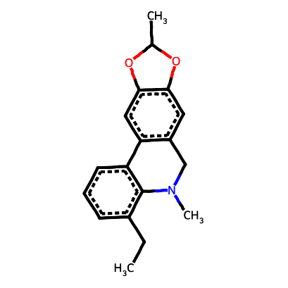 CCc1cccc2c1N(C)Cc1cc3c(cc1-2)OC(C)O3